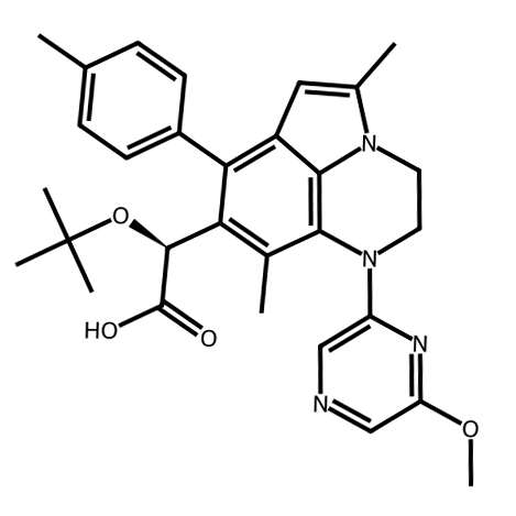 COc1cncc(N2CCn3c(C)cc4c(-c5ccc(C)cc5)c([C@H](OC(C)(C)C)C(=O)O)c(C)c2c43)n1